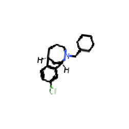 Clc1ccc2c(c1)[C@H]1C[C@@H]2CCCN1CC1CCCCC1